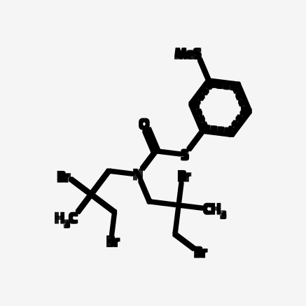 CSc1cccc(SC(=O)N(CC(C)(Br)CBr)CC(C)(Br)CBr)c1